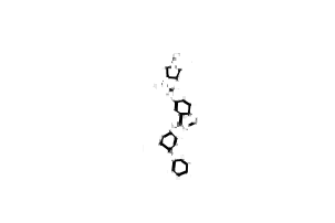 Cc1cc(Nc2ncnc3ccc(/N=C4\OC5CN(C)CC5N4C)cc23)ccc1Oc1ccccc1